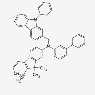 C#CC1=C(/C=C\C)c2ccc(N(Cc3ccc4c5ccccc5n(C5C=CC=CC5)c4c3)c3cccc(C4C=CC=CC4)c3)cc2C1(C)C